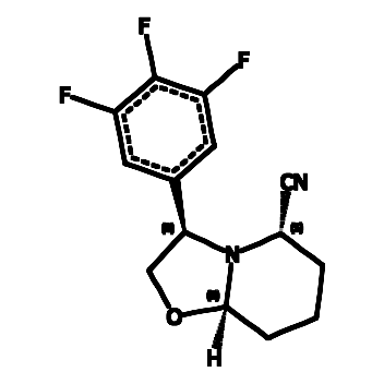 N#C[C@@H]1CCC[C@H]2OC[C@@H](c3cc(F)c(F)c(F)c3)N12